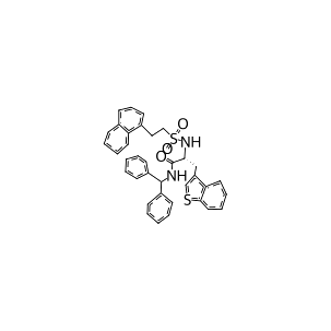 O=C(NC(c1ccccc1)c1ccccc1)[C@@H](Cc1csc2ccccc12)NS(=O)(=O)CCc1cccc2ccccc12